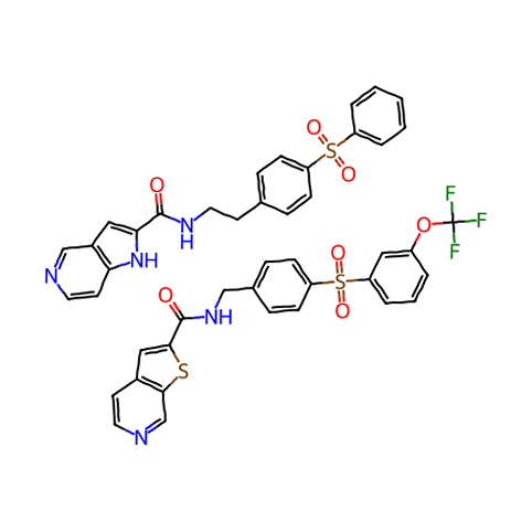 O=C(NCCc1ccc(S(=O)(=O)c2ccccc2)cc1)c1cc2cnccc2[nH]1.O=C(NCc1ccc(S(=O)(=O)c2cccc(OC(F)(F)F)c2)cc1)c1cc2ccncc2s1